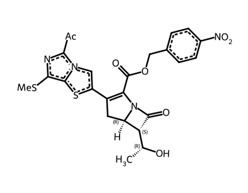 CSc1nc(C(C)=O)n2cc(C3=C(C(=O)OCc4ccc([N+](=O)[O-])cc4)N4C(=O)[C@H]([C@@H](C)O)[C@H]4C3)sc12